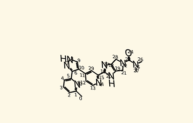 Cc1cccc(-c2n[nH]cc2-c2ccnc(-c3nc4c([nH]3)CN(C(=O)N(C)C)C4)c2)n1